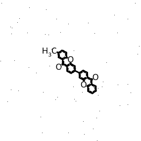 Cc1ccc2oc3cc(-c4ccc5c(=O)c6ccccc6oc5c4)ccc3c(=O)c2c1